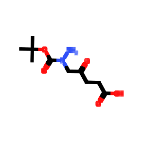 CC(C)(C)OC(=O)N(N)CC(=O)CCC(=O)O